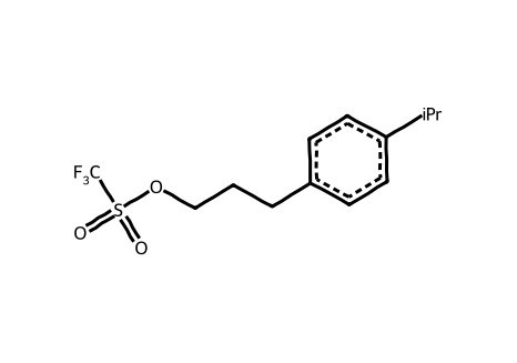 CC(C)c1ccc(CCCOS(=O)(=O)C(F)(F)F)cc1